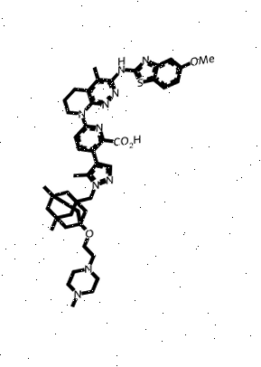 COc1ccc2sc(Nc3nnc4c(c3C)CCCN4c3ccc(-c4cnn(CC56CC7(C)CC(C)(C5)CC(OCCN5CCN(C)CC5)(C7)C6)c4C)c(C(=O)O)n3)nc2c1